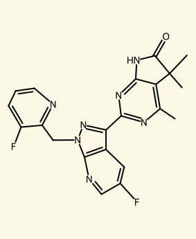 Cc1nc(-c2nn(Cc3ncccc3F)c3ncc(F)cc23)nc2c1C(C)(C)C(=O)N2